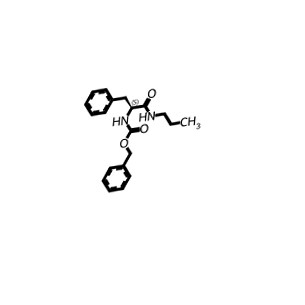 CCCNC(=O)[C@H](Cc1ccccc1)NC(=O)OCc1ccccc1